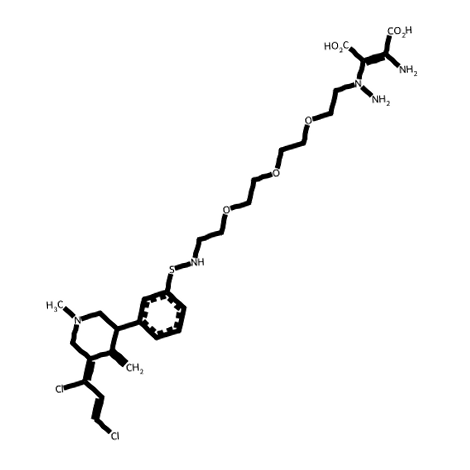 C=C1/C(=C(Cl)\C=C\Cl)CN(C)CC1c1cccc(SNCCOCCOCCOCCN(N)/C(C(=O)O)=C(\N)C(=O)O)c1